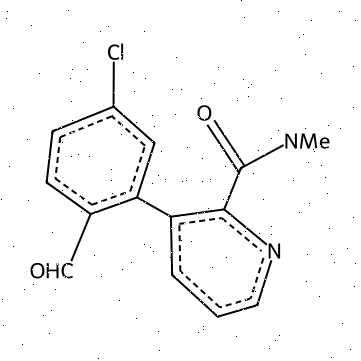 CNC(=O)c1ncccc1-c1cc(Cl)ccc1C=O